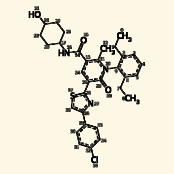 CCc1cccc(CC)c1-n1c(C)c(C(=O)NC2CCC(O)CC2)cc(-c2nc(-c3ccc(Cl)cc3)cs2)c1=O